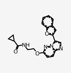 O=C(NCCOc1ccc2ncc(-c3cc4ccccc4o3)n2n1)C1CC1